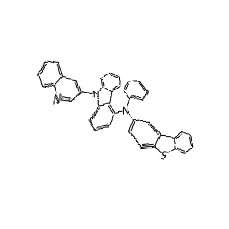 c1ccc(N(c2ccc3sc4ccccc4c3c2)c2cccc3c2c2ccccc2n3-c2cnc3ccccc3c2)cc1